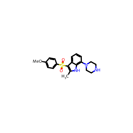 COc1ccc(S(=O)(=O)c2c(C)[nH]c3c(N4CCNCC4)cccc23)cc1